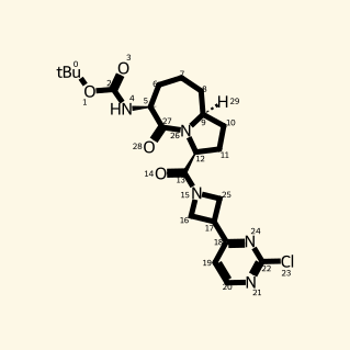 CC(C)(C)OC(=O)N[C@H]1CCC[C@H]2CC[C@@H](C(=O)N3CC(c4ccnc(Cl)n4)C3)N2C1=O